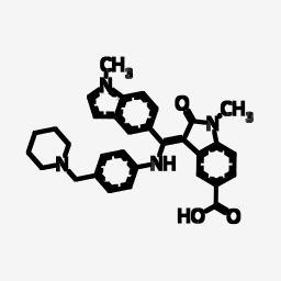 CN1C(=O)C(=C(Nc2ccc(CN3CCCCC3)cc2)c2ccc3c(ccn3C)c2)c2cc(C(=O)O)ccc21